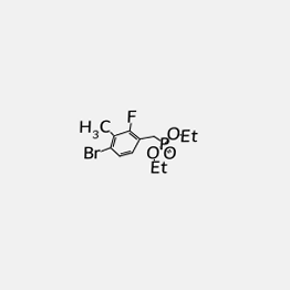 CCOP(=O)(Cc1ccc(Br)c(C)c1F)OCC